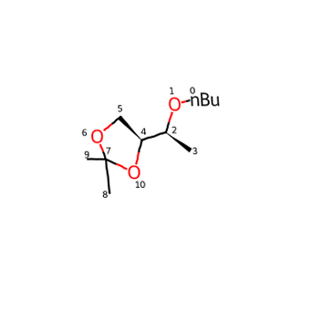 CCCCO[C@@H](C)[C@@H]1COC(C)(C)O1